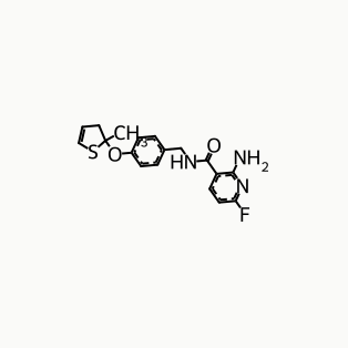 CC1(Oc2ccc(CNC(=O)c3ccc(F)nc3N)cc2)CC=CS1